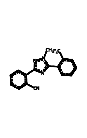 Cn1nc(-c2ccccc2C#N)nc1-c1ccccc1C(F)(F)F